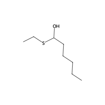 CCCCCC(O)SCC